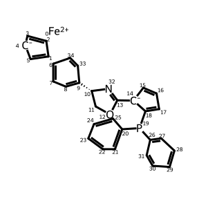 [Fe+2].c1cc[cH-]c1.c1ccc([C@H]2COC([c-]3cccc3P(c3ccccc3)c3ccccc3)=N2)cc1